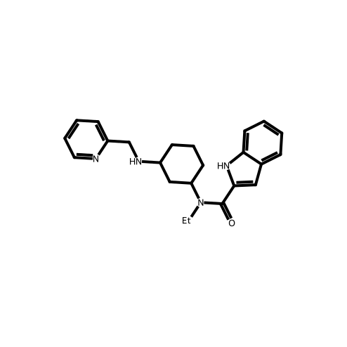 CCN(C(=O)c1cc2ccccc2[nH]1)C1CCCC(NCc2ccccn2)C1